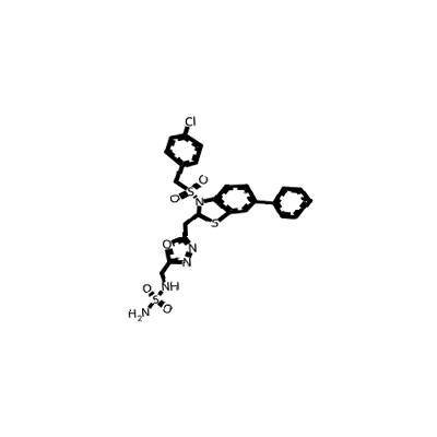 NS(=O)(=O)NCc1nnc(CC2Sc3cc(-c4ccccc4)ccc3N2S(=O)(=O)Cc2ccc(Cl)cc2)o1